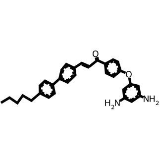 CCCCCc1ccc(-c2ccc(C=CC(=O)c3ccc(Oc4cc(N)cc(N)c4)cc3)cc2)cc1